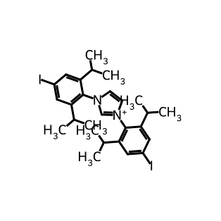 CC(C)c1cc(I)cc(C(C)C)c1-n1cc[n+](-c2c(C(C)C)cc(I)cc2C(C)C)c1